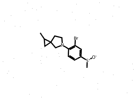 CC1CC12CCN(c1ccc([S+](C)[O-])cc1Br)C2